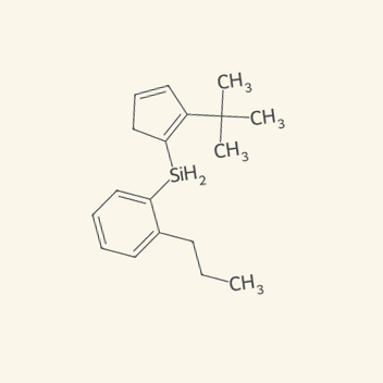 CCCc1ccccc1[SiH2]C1=C(C(C)(C)C)C=CC1